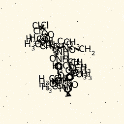 C=CCOC(=O)N[C@H](C(=O)N[C@@H](CCCCN(C(=O)OCC(Cl)(Cl)Cl)[Si](C)(C)C(C)(C)C)C(=O)Nc1ccc(COC(=O)N2c3cc(O[Si](C(C)C)(C(C)C)C(C)C)c(OC)cc3C(=O)N3CC4(CC4)C[C@H]3C2O[Si](C)(C)C(C)(C)C)cc1)C(C)C